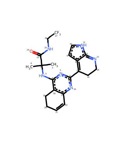 CC(C)(Nc1nc(C2=c3cc[nH]c3=NCC2)nc2c1CCC=C2)C(=O)NCC(F)(F)F